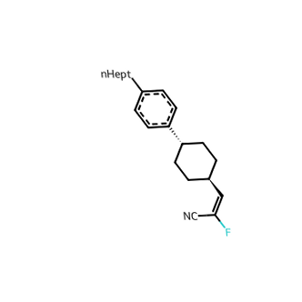 CCCCCCCc1ccc([C@H]2CC[C@H](/C=C(/F)C#N)CC2)cc1